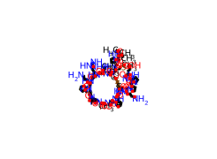 CSCC[C@H](NC(=O)[C@@H]1CCCN1C(=O)[C@@H](NC(C)=O)C(C)C)C(=O)NC1CCSSC[C@@H](C(=O)NC(CCCCN)C(=O)N2CCC[C@H]2C(=O)N2CCC[C@H]2C(=O)N[C@@H](CCC(=O)O)C(N)=O)NC(=O)[C@H](Cc2ccccc2)NC(=O)[C@H](CO)NC(=O)C(C)NC(=O)[C@@H]2CCCN2C(=O)[C@H](CC2CCCCC2)NC(=O)[C@H](CCCCN)NC(=O)[C@H](CCCNC(=N)N)NC(=O)[C@H](CC(C)C)NC1=O